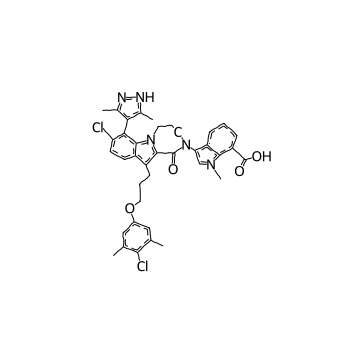 Cc1cc(OCCCc2c3n(c4c(-c5c(C)n[nH]c5C)c(Cl)ccc24)CCCN(c2cn(C)c4c(C(=O)O)cccc24)C3=O)cc(C)c1Cl